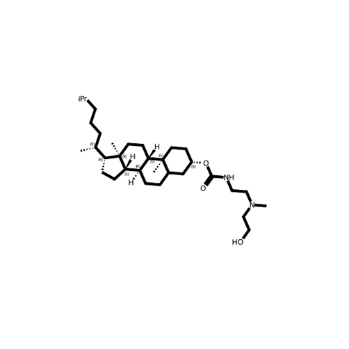 CC(C)CCC[C@@H](C)[C@H]1CC[C@H]2[C@@H]3CCC4C[C@@H](OC(=O)NCCN(C)CCO)CC[C@]4(C)[C@H]3CC[C@]12C